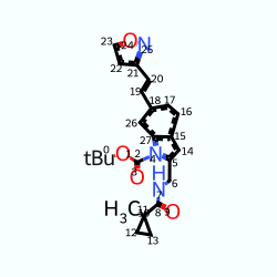 CC(C)(C)OC(=O)n1c(CNC(=O)C2(C)CC2)cc2ccc(/C=C/c3ccon3)cc21